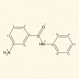 Nc1cc[c]c(C(=O)Nc2ccccc2)c1